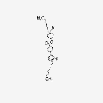 CCCCCCCc1ccc(-c2ccc(C(=O)OC3CCC(C#N)(CCCCCCC)CC3)cc2)cc1F